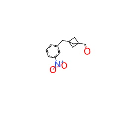 O=CC12CC(Cc3cccc([N+](=O)[O-])c3)(C1)C2